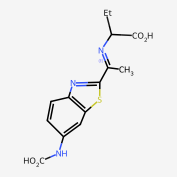 CCC(/N=C(\C)c1nc2ccc(NC(=O)O)cc2s1)C(=O)O